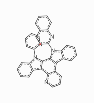 c1ccc(-n2c3ccccc3c3c4ncccc4c4c5ccccc5n(-c5ncc6ccccc6n5)c4c32)cc1